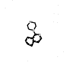 c1ccc2c(N3CC[N]CC3)nccc2c1